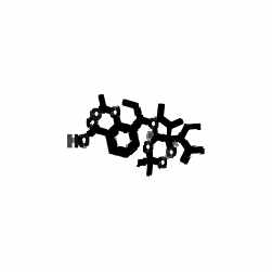 CCC(O[C@@H]1OC(C)(C)OO[C@@]1(C(C)CC)C(CC)C(C)C)c1cccc(C(=O)O)c1OC(C)=O